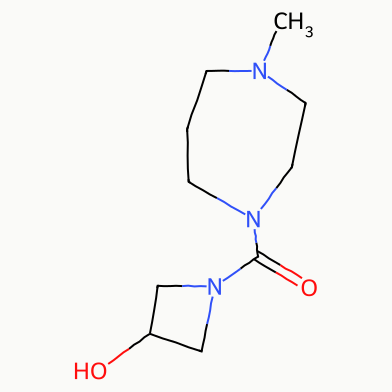 CN1CCCN(C(=O)N2CC(O)C2)CC1